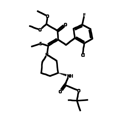 COC(OC)C(=O)/C(Cc1cc(F)ccc1Cl)=C(\SC)N1CCC[C@@H](NC(=O)OC(C)(C)C)C1